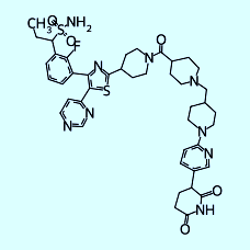 CCC(c1cccc(-c2nc(C3CCN(C(=O)C4CCN(CC5CCN(c6ccc(C7CCC(=O)NC7=O)cn6)CC5)CC4)CC3)sc2-c2ccncn2)c1F)S(N)(=O)=O